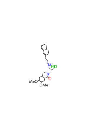 COc1cc2c(cc1OC)C(=O)N(CC1CCCN(CCCc3ccc4ccccc4c3)C1)CC2.Cl